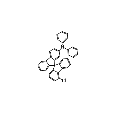 Clc1cccc2c1-c1ccccc1C21c2ccccc2-c2ccc(N(c3ccccc3)c3ccccc3)cc21